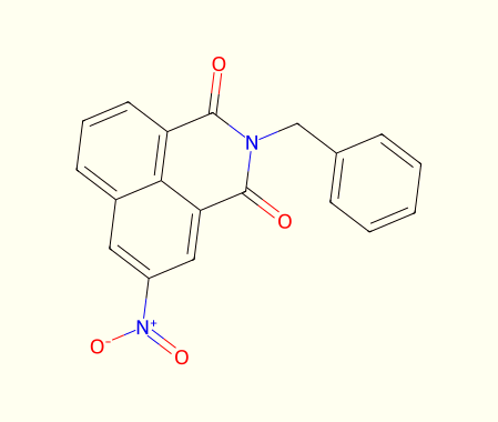 O=C1c2cccc3cc([N+](=O)[O-])cc(c23)C(=O)N1Cc1ccccc1